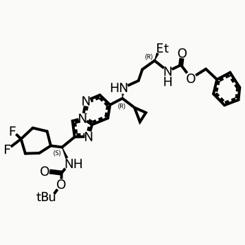 CC[C@H](CCN[C@@H](c1cnn2cc([C@@H](NC(=O)OC(C)(C)C)C3CCC(F)(F)CC3)nc2c1)C1CC1)NC(=O)OCc1ccccc1